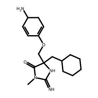 CN1C(=N)NC(COC2=CCC(N)C=C2)(CC2CCCCC2)C1=O